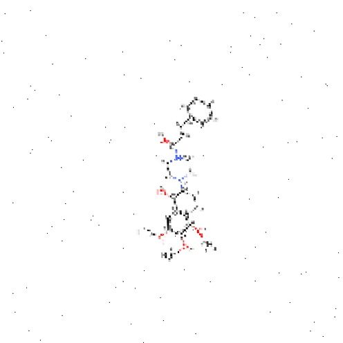 COc1cc2c(c(OC)c1OC)CCC(N1CCN(C(=O)C=Cc3ccccc3)CC1)C2O